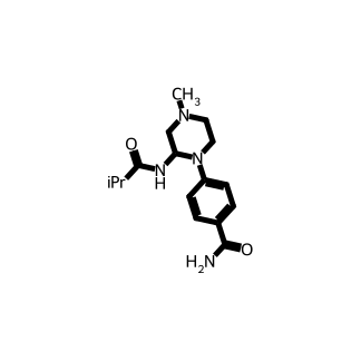 CC(C)C(=O)NC1CN(C)CCN1c1ccc(C(N)=O)cc1